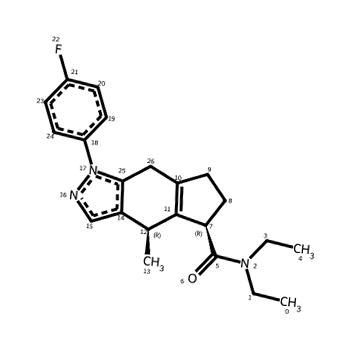 CCN(CC)C(=O)[C@@H]1CCC2=C1[C@@H](C)c1cnn(-c3ccc(F)cc3)c1C2